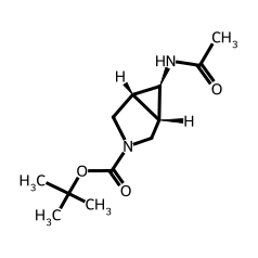 CC(=O)N[C@H]1[C@@H]2CN(C(=O)OC(C)(C)C)C[C@@H]21